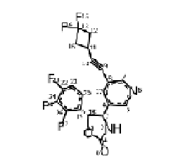 O=C1N[C@H](c2cncc(C#CC3CC(F)(F)C3)c2)[C@@H](c2ccc(F)c(F)c2F)O1